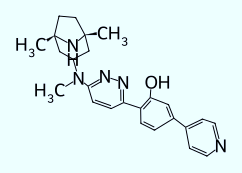 CN(c1ccc(-c2ccc(-c3ccncc3)cc2O)nn1)C1C[C@]2(C)CC[C@](C)(C1)N2